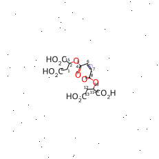 O=C(O)CC(OC(=O)/C=C\C(=O)OC(CC(=O)O)C(=O)O)C(=O)O